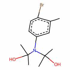 Cc1cc(N(C(C)(C)O)C(C)(C)O)ccc1Br